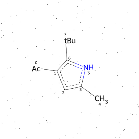 CC(=O)c1cc(C)[nH]c1C(C)(C)C